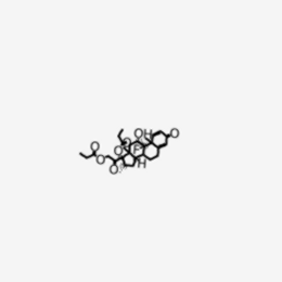 CCC(=O)OCC(=O)[C@@]1(OC(=O)CC)[C@@H](C)C[C@H]2C3CCC4=CC(=O)C=CC4(C)[C@@]3(F)[C@@H](O)CC21C